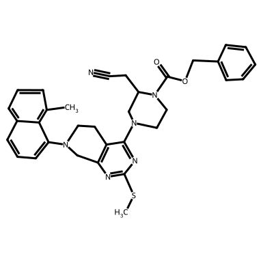 CSc1nc2c(c(N3CCN(C(=O)OCc4ccccc4)C(CC#N)C3)n1)CCN(c1cccc3cccc(C)c13)C2